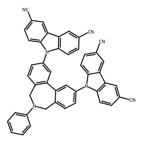 N#Cc1ccc2c(c1)c1cc(C#N)ccc1n2-c1ccc2c(c1)-c1cc(-n3c4ccc(C#N)cc4c4cc(C#N)ccc43)ccc1CN(c1ccccc1)C2